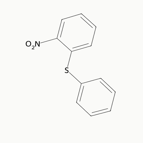 O=[N+]([O-])c1ccccc1Sc1ccccc1